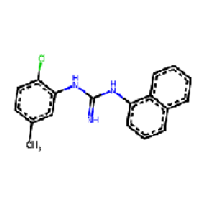 Cc1ccc(Cl)c(NC(=N)Nc2cccc3ccccc23)c1